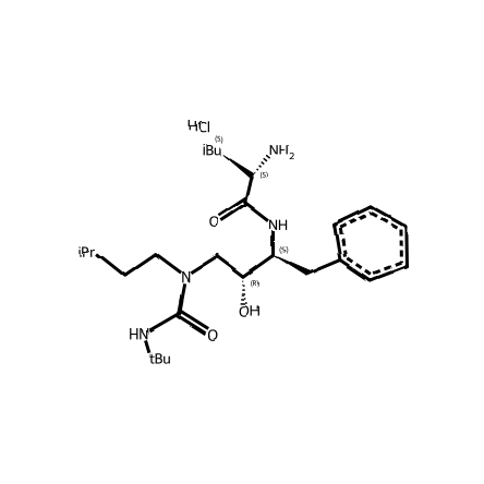 CC[C@H](C)[C@H](N)C(=O)N[C@@H](Cc1ccccc1)[C@H](O)CN(CCC(C)C)C(=O)NC(C)(C)C.Cl